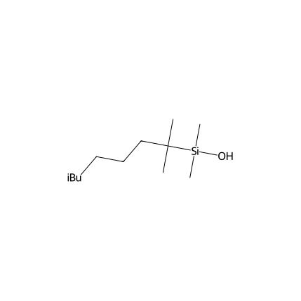 CCC(C)CCCC(C)(C)[Si](C)(C)O